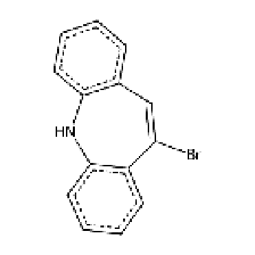 BrC1=Cc2ccccc2Nc2ccccc21